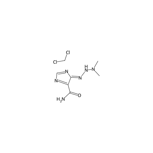 CN(C)N/N=C1\N=CN=C1C(N)=O.ClCCl